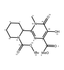 COC(=O)c1nc(C2CCCCN2C(=O)OC(C)(C)C)n(C)c(=O)c1O